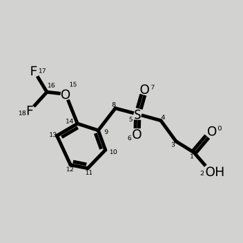 O=C(O)CCS(=O)(=O)Cc1ccccc1OC(F)F